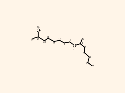 CCCCCC(C)OCCCCCCC(C)[O]